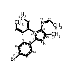 C/C=C\C(=C/C)n1c(-c2ccc(Br)cc2)nc(C)c1/N=C\C